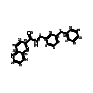 O=C(NCc1cccc(Cc2ccccc2)c1)c1ccc2ncccc2n1